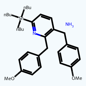 CCC[CH2][Sn]([CH2]CCC)([CH2]CCC)[c]1ccc(Cc2ccc(OC)cc2)c(Cc2ccc(OC)cc2)n1.N